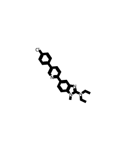 CCN(CC)c1nc2cc(-c3ccc(-c4ccc(Cl)cc4)cn3)ccc2n1C